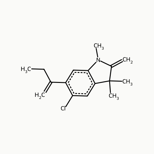 C=C(CC)c1cc2c(cc1Cl)C(C)(C)C(=C)N2C